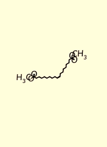 COC(=O)CCCCCCC/C=C\CCCCCCCCC(=O)OC